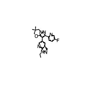 CCn1ncc2cc(-c3c(-c4ccc(F)cn4)nn4c3OCC(C)(C)C4)cnc21